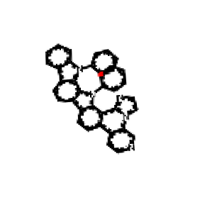 c1ccc(-n2c3ccccc3c3ccc4c5ccc6c7ccncc7n7ccnc7c6c5n(-c5ccccc5)c4c32)cc1